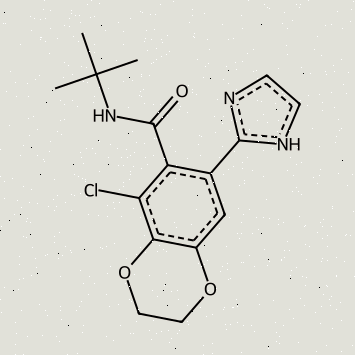 CC(C)(C)NC(=O)c1c(-c2ncc[nH]2)cc2c(c1Cl)OCCO2